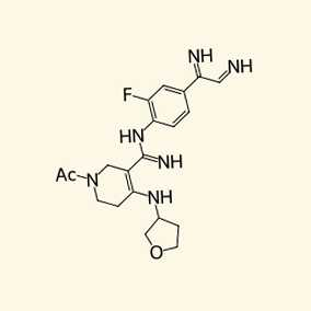 CC(=O)N1CCC(NC2CCOC2)=C(C(=N)Nc2ccc(C(=N)C=N)cc2F)C1